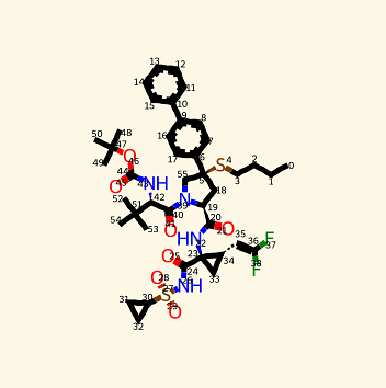 CCCCS[C@@]1(c2ccc(-c3ccccc3)cc2)C[C@@H](C(=O)N[C@]2(C(=O)NS(=O)(=O)C3CC3)C[C@H]2C=C(F)F)N(C(=O)[C@@H](NC(=O)OC(C)(C)C)C(C)(C)C)C1